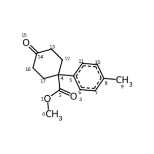 COC(=O)C1(c2ccc(C)cc2)CCC(=O)CC1